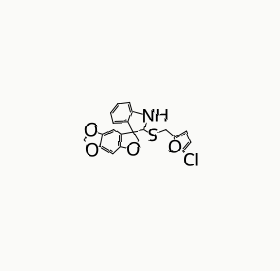 Clc1ccc(CSC2Nc3ccccc3C23COc2cc4c(cc23)OCO4)o1